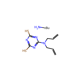 C=CCN(CC=C)c1nc(S)nc(S)n1.CCCCN